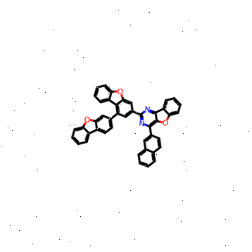 c1ccc2cc(-c3nc(-c4cc(-c5ccc6c(c5)oc5ccccc56)c5c(c4)oc4ccccc45)nc4c3oc3ccccc34)ccc2c1